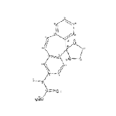 COC(=O)C(C)c1ccc2c(c1)C=Cc1ccccc1C21OCCO1